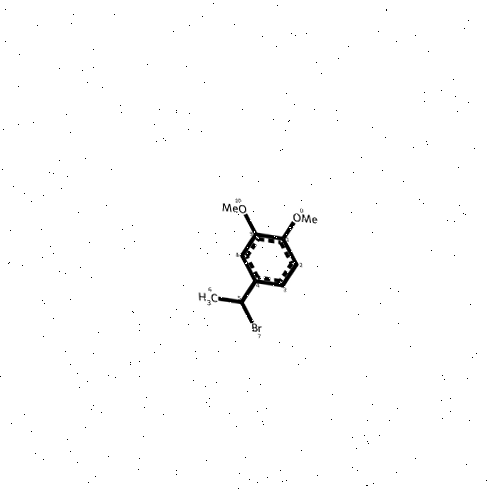 COc1ccc(C(C)Br)cc1OC